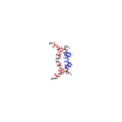 CC(C)OC(=O)OCOP(=O)(CO[C@H](C)Cn1cnc2c(NCNc3ncnc4c3ncn4C[C@@H](C)OCP(=O)(OCOC(=O)OC(C)C)OCOC(=O)OC(C)C)ncnc21)OCOC(=O)OC(C)C